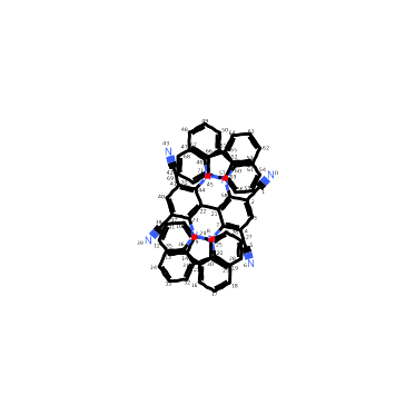 N#Cc1cc(C#N)c(-n2c3ccccc3c3ccccc32)c(-c2c(-n3c4ccccc4c4ccccc43)c(C#N)cc(C#N)c2-n2c3ccccc3c3ccccc32)c1-n1c2ccccc2c2ccccc21